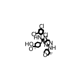 C[C@@H]1COCC[C@H]1Nc1ncc2nc(Nc3c(Cl)cc(Cl)cc3Cl)n([C@H]3CC[C@](C)(C(=O)O)CC3)c2n1